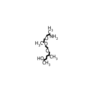 CC(N)COCC(C)OCCOCC(C)CCC(C)O